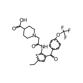 CCc1cc(C(=O)c2ccc(OC(F)(F)F)cc2)c(NC(=O)CN2CCC(C(=O)O)CC2)s1